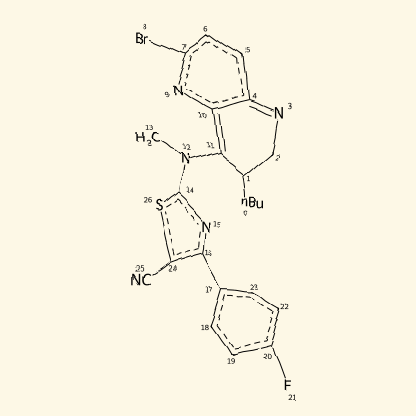 CCCCC1CN=c2ccc(Br)nc2=C1N(C)c1nc(-c2ccc(F)cc2)c(C#N)s1